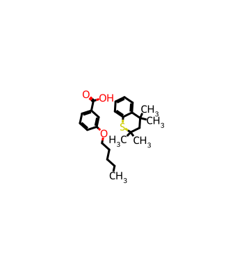 CC1(C)CC(C)(C)c2ccccc2S1.CCCCCOc1cccc(C(=O)O)c1